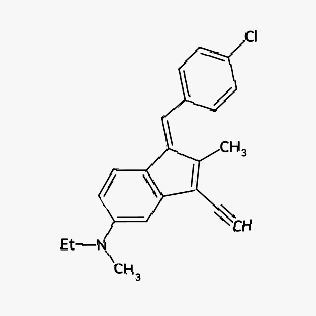 C#CC1=C(C)C(=Cc2ccc(Cl)cc2)c2ccc(N(C)CC)cc21